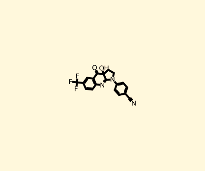 N#Cc1ccc(N2CCC3(O)C(=O)c4cc(C(F)(F)F)ccc4N=C23)cc1